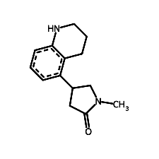 CN1CC(c2cccc3c2CCCN3)CC1=O